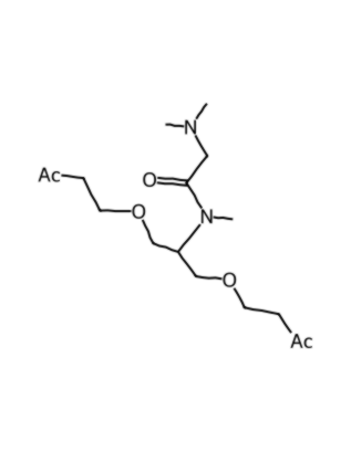 CC(=O)CCOCC(COCCC(C)=O)N(C)C(=O)CN(C)C